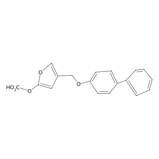 O=C(O)Oc1cc(COc2ccc(-c3ccccc3)cc2)co1